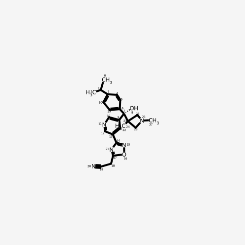 CC(C)c1ccc([C@](O)(c2cncc(-c3noc(CC#N)n3)c2)C2(C)CN(C)C2)cc1